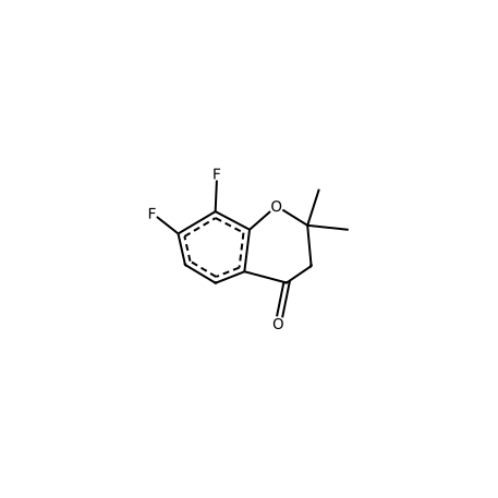 CC1(C)CC(=O)c2ccc(F)c(F)c2O1